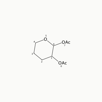 CC(=O)OC1CCCOC1OC(C)=O